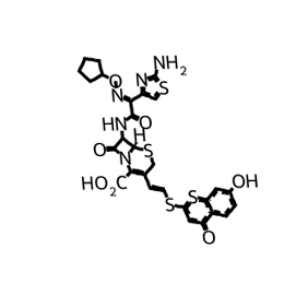 Nc1nc(C(=NOC2CCCC2)C(=O)NC2C(=O)N3C(C(=O)O)=C(C=CSc4cc(=O)c5ccc(O)cc5s4)CS[C@@H]23)cs1